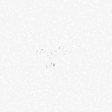 CCN(CC)C1Cc2cc(-c3csc4c3sc3cc(C)sc34)cc3c2N(C1)CC(N(CC)CC)C3